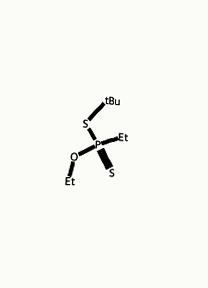 CCOP(=S)(CC)SC(C)(C)C